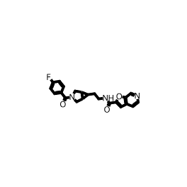 O=C(NCCC1C2CN(C(=O)c3ccc(F)cc3)CC12)c1cc2ccncc2o1